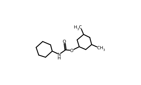 CC1CC(C)CC(OC(=O)NC2CCCCC2)C1